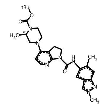 Cc1cc2nn(C)cc2cc1NC(=O)N1CCc2c(N3CCN(C(=O)OC(C)(C)C)[C@H](C)C3)ccnc21